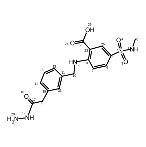 CNS(=O)(=O)c1ccc(NCc2cccc(CC(=O)NN)c2)c(C(=O)O)c1